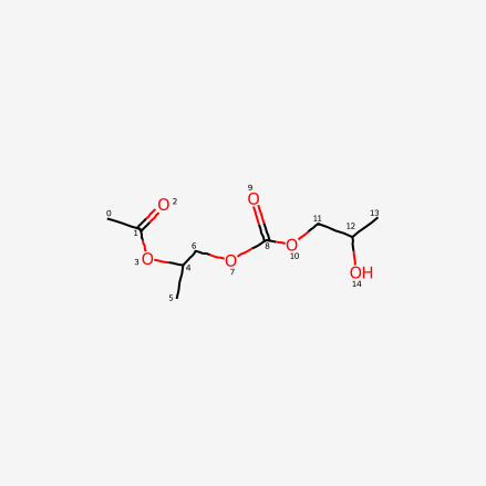 CC(=O)OC(C)COC(=O)OCC(C)O